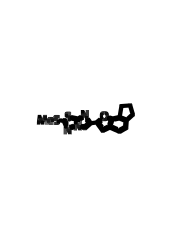 CSc1nn2cc(-c3cc4ccc5c(c4o3)CCC5)nc2s1